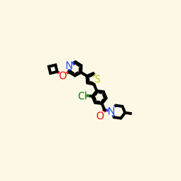 CC1CCN(C(=O)c2ccc(-c3cc(-c4ccnc(OC5CCC5)c4)cs3)c(Cl)c2)CC1